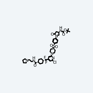 CC(C)(C)OC(=O)N[C@@H]1CC(=O)N(c2ccc(S(=O)(=O)N3CCN(c4cc(C(F)(F)[C@H]5CC[C@H](C(=O)NCCN6CCCC6)CC5)cc(Cl)n4)CC3)cc2)C1